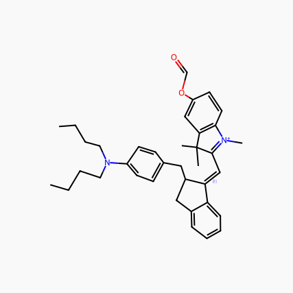 CCCCN(CCCC)c1ccc(CC2Cc3ccccc3/C2=C/C2=[N+](C)c3ccc(OC=O)cc3C2(C)C)cc1